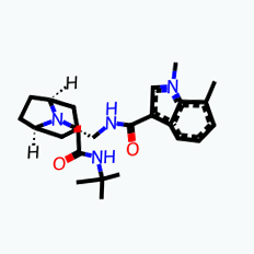 Cc1cccc2c(C(=O)NC[C@@H]3C[C@H]4CC[C@@H](C3)N4CC(=O)NC(C)(C)C)cn(C)c12